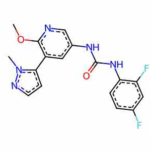 COc1ncc(NC(=O)Nc2ccc(F)cc2F)cc1-c1ccnn1C